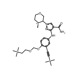 C[C@H]1CCOCC1n1cc(C(N)=O)c(Nc2ccc(OCOCC[Si](C)(C)C)c(C#C[Si](C)(C)C)c2)n1